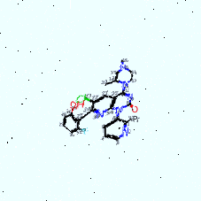 CC(C)c1ncccc1-n1c(=O)nc(N2CCN(C)CC2C)c2cc(Cl)c(-c3c(O)cccc3F)nc21